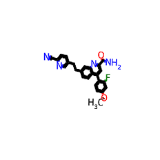 COc1ccc(-c2cc(C(N)=O)nc3cc(CCc4ccc(C#N)nc4)ccc23)c(F)c1